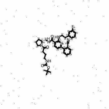 CC(C)(C)OC(=O)NCCCC(=O)N1CCC[C@@H]1CNC(=O)c1ccc(-c2ccccc2C#N)nc1NCCc1cccc(F)c1